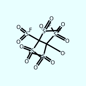 [O]C(C(S(=O)(=O)F)(S(=O)(=O)F)S(=O)(=O)F)(S(=O)(=O)F)S(=O)(=O)F